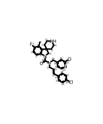 Cc1c(F)ccc2c1C1(CCNCC1)CN2C(=O)N(CC=Cc1ccc(Cl)cc1)Cc1ccnc(Cl)c1